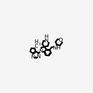 C[C@@H]1CCc2ncnc(N3CC4(CCNCC4)c4c(CNC5CCOCC5)cccc43)c21